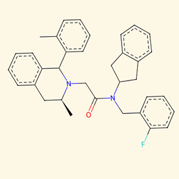 Cc1ccccc1C1c2ccccc2C[C@H](C)N1CC(=O)N(Cc1ccccc1F)C1Cc2ccccc2C1